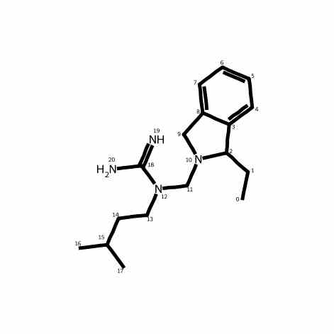 CCC1c2ccccc2CN1CN(CCC(C)C)C(=N)N